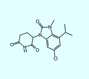 CC(C)c1cc(Cl)cc2c1n(C)c(=O)n2C1CCC(=O)NC1=O